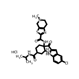 CC(C)NC(=O)C1CCC(NC(=O)c2nc3c(s2)CN(C)CC3)(C(=O)c2cc3cc(Cl)ccc3[nH]2)C(N)C1.Cl